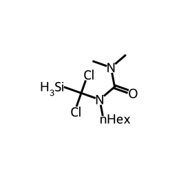 CCCCCCN(C(=O)N(C)C)C([SiH3])(Cl)Cl